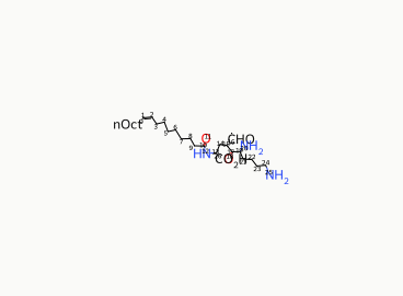 CCCCCCCC/C=C\CCCCCCCC(=O)N[C@@H](CC([C]=O)C(=O)[C@@H](N)CCCCN)C(=O)O